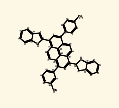 Cc1ccc(-c2cc(-c3cc4ccccc4o3)c3ccc4c(-c5cccc(C(C)(C)C)c5)cc(C5Cc6ccccc6O5)c5ccc2c3c45)cc1